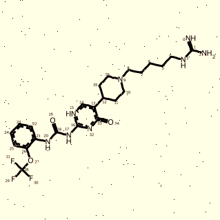 N=C(N)NCCCCCN1CCC(c2c[nH]c(NC(=O)Nc3ccccc3OC(F)(F)F)nc2=O)CC1